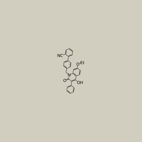 CCOc1ccc2c(O)c(-c3ccccc3)c(=O)n(Cc3ccc(-c4ccccc4C#N)cc3)c2c1